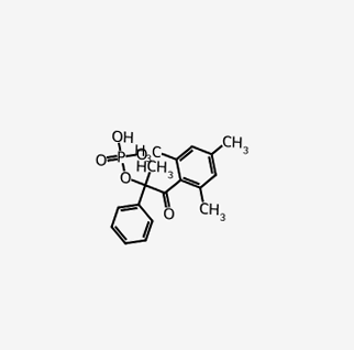 Cc1cc(C)c(C(=O)C(C)(OP(=O)(O)O)c2ccccc2)c(C)c1